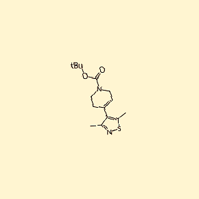 Cc1nsc(C)c1C1=CCN(C(=O)OC(C)(C)C)CC1